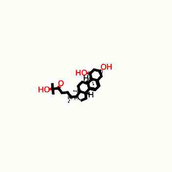 C[C@H](CCC(=O)C(C)(C)O)[C@H]1CC[C@H]2C3=CC=C4C[C@@H](O)C[C@H](O)[C@]4(C)[C@H]3CC[C@]12C